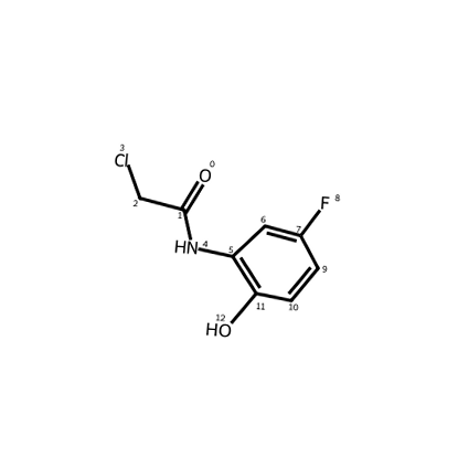 O=C(CCl)Nc1cc(F)ccc1O